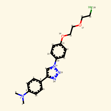 CN(C)c1ccc(-c2cn(-c3ccc(OCCOCC[18F])cc3)nn2)cc1